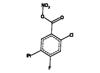 CC(C)c1cc(C(=O)O[N+](=O)[O-])c(Cl)cc1F